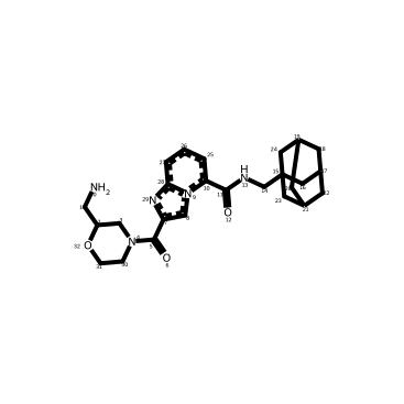 NCC1CN(C(=O)c2cn3c(C(=O)NCC45CC6CC(CC(C6)C4)C5)cccc3n2)CCO1